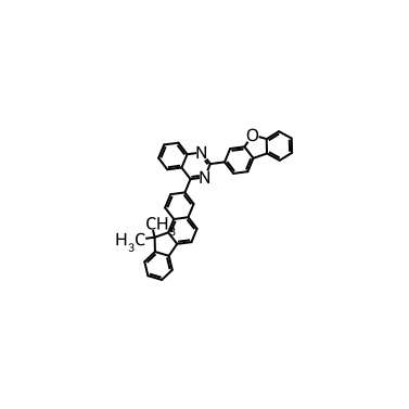 CC1(C)c2ccccc2-c2ccc3cc(-c4nc(-c5ccc6c(c5)oc5ccccc56)nc5ccccc45)ccc3c21